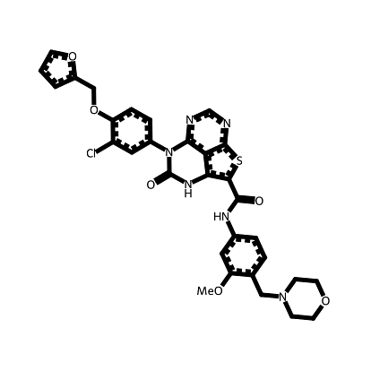 COc1cc(NC(=O)c2sc3ncnc4c3c2NC(=O)N4c2ccc(OCc3ccco3)c(Cl)c2)ccc1CN1CCOCC1